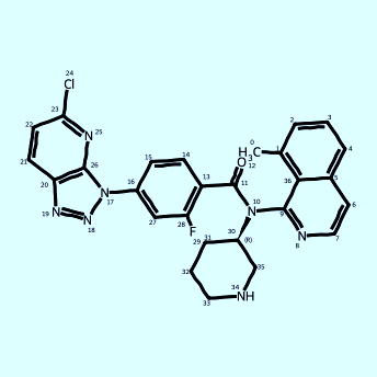 Cc1cccc2ccnc(N(C(=O)c3ccc(-n4nnc5ccc(Cl)nc54)cc3F)[C@@H]3CCCNC3)c12